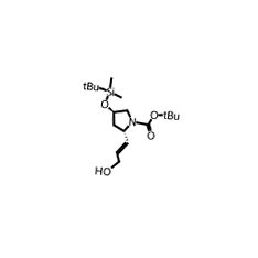 CC(C)(C)OC(=O)N1C[C@H](O[Si](C)(C)C(C)(C)C)C[C@H]1C=CCO